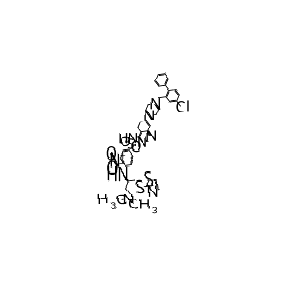 CN(C)CCC(CSc1nccs1)Nc1ccc(S(=O)(=O)Nc2ncnc3cc(N4CCN(Cc5cc(Cl)ccc5-c5ccccc5)CC4)ccc23)cc1[N+](=O)[O-]